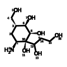 N[C@H]1C[C@H](CO)[C@@H](O)[C@H](O)[C@@]1(O)C(O)CCO